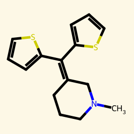 CN1CCCC(=C(c2cccs2)c2cccs2)C1